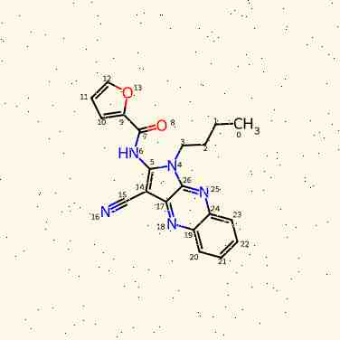 CCCCn1c(NC(=O)c2ccco2)c(C#N)c2nc3ccccc3nc21